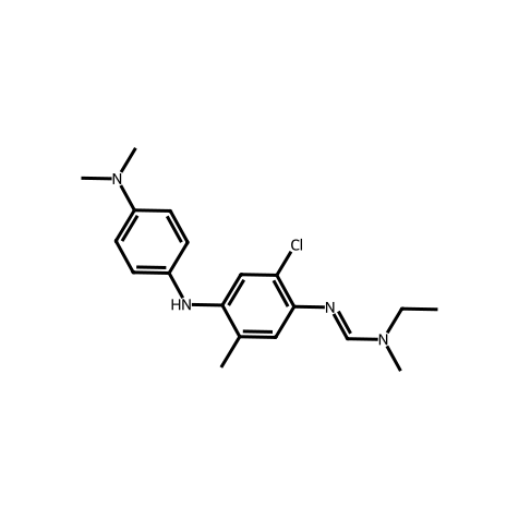 CCN(C)C=Nc1cc(C)c(Nc2ccc(N(C)C)cc2)cc1Cl